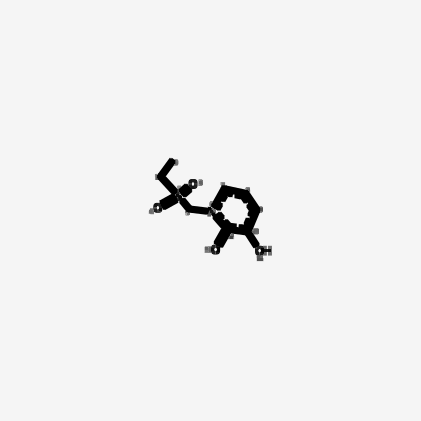 CCS(=O)(=O)Cn1cccc(O)c1=O